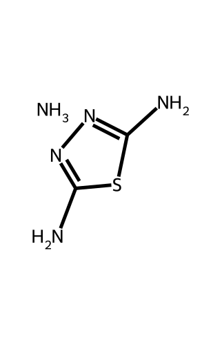 N.Nc1nnc(N)s1